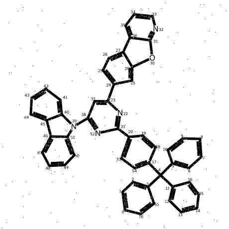 c1ccc(C(c2ccccc2)(c2ccccc2)c2ccc(-c3nc(-c4ccc5c(c4)oc4ncccc45)cc(-n4c5ccccc5c5ccccc54)n3)cc2)cc1